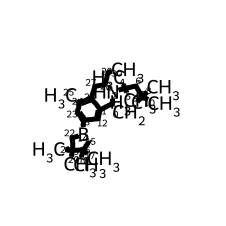 C=C(NC(C)(C)CC(C)(C)C)c1cc(B2CC(C)(C)C(C)(C)C2)cc(C)c1CCCC